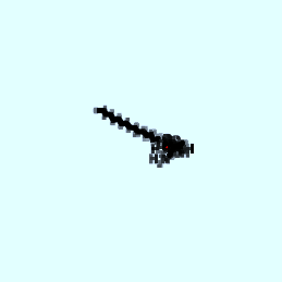 CCCCCCCCCCCCCCCCOP(=O)(O)OC(O)(C(N)CN)C(C)(O)O